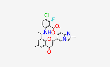 COC(=O)c1c(NC(C)c2cc(C)cc3c(=O)cc(-c4ccc5nc(C)cn5c4)oc23)ccc(Cl)c1F